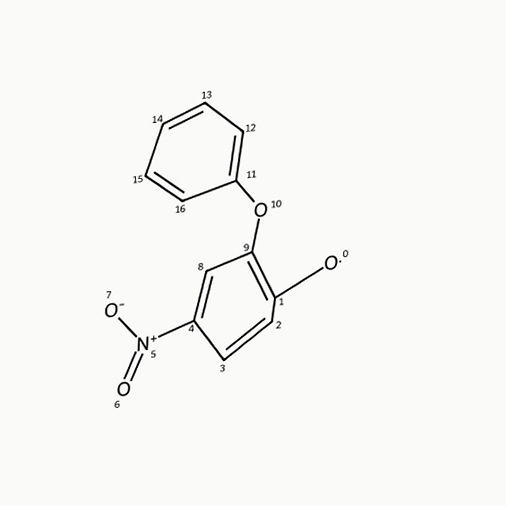 [O]c1ccc([N+](=O)[O-])cc1Oc1ccccc1